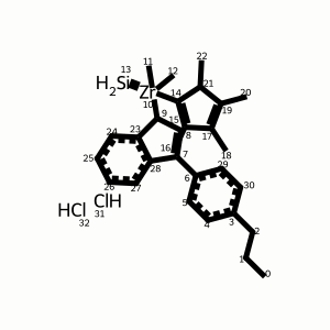 CCCc1ccc(C2=C[CH]([Zr]([CH3])([CH3])(=[SiH2])[C]3=C(C)C(C)=C(C)C3C)c3ccccc32)cc1.Cl.Cl